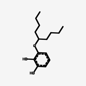 CCCCC(CCCC)Oc1cccc(O)c1O